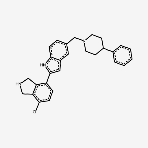 Clc1ccc(-c2cc3cc(CN4CCC(c5ccccc5)CC4)ccc3[nH]2)c2c1CNC2